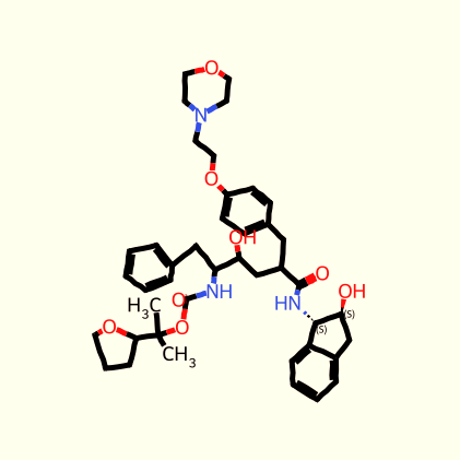 CC(C)(OC(=O)NC(Cc1ccccc1)C(O)CC(Cc1ccc(OCCN2CCOCC2)cc1)C(=O)N[C@H]1c2ccccc2C[C@@H]1O)C1CCCO1